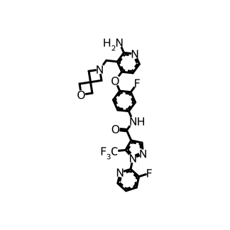 Nc1nccc(Oc2ccc(NC(=O)c3cnn(-c4ncccc4F)c3C(F)(F)F)cc2F)c1CN1CC2(COC2)C1